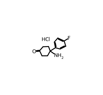 Cl.NC1(c2ccc(F)cc2)CCC(=O)CC1